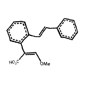 COC=C(C(=O)O)c1ccccc1C=Cc1ccccc1